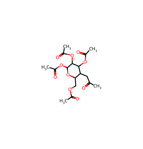 CC(=O)CC1C(COC(C)=O)OC(OC(C)=O)C(OC(C)=O)C1OC(C)=O